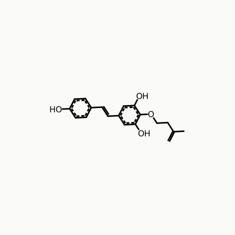 C=C(C)CCOc1c(O)cc(C=Cc2ccc(O)cc2)cc1O